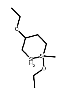 CCOC1CC[Si](C)(OCC)[SiH2]C1